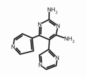 Nc1nc(N)c(-c2cnccn2)c(-c2ccncc2)n1